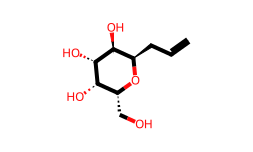 C=CC[C@H]1O[C@H](CO)[C@H](O)[C@H](O)[C@H]1O